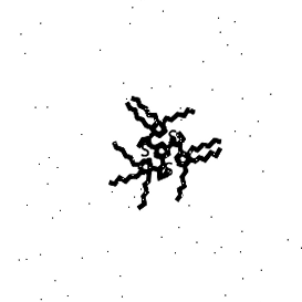 CCCCCCc1ccc(-c2ccsc2-c2cc(-c3sccc3-c3ccc(CCCCCC)c(CCCCCC)c3CCCCCC)cc(-c3sccc3-c3ccc(CCCCCC)c(CCCCCC)c3CCCCCC)c2)c(CCCCCC)c1CCCCCC